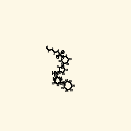 CCCCCS(=O)(=O)N1CCCC(N2CCC(Nc3nccc(N4CCCCCC4)n3)C2)C1